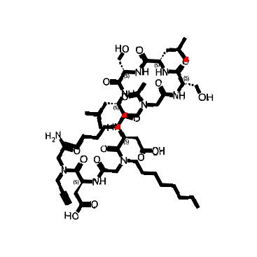 C#CCN(CC(N)=O)C(=O)[C@H](CC(=O)O)NC(=O)CN(CCCCCCCC)C(=O)[C@H](CC(=O)O)NC(=O)[C@H](CC(C)C)NC(=O)[C@H](CO)NC(=O)[C@H](CC(C)C)NC(=O)[C@H](CO)NC(=O)CN(CCCCCCCC)C(C)=O